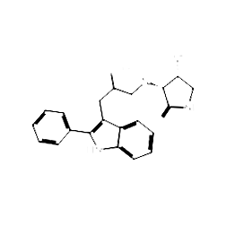 O=CC(CN[C@@H]1C(=O)NC[C@H]1O)Cc1c(-c2ccccc2)[nH]c2ccccc12